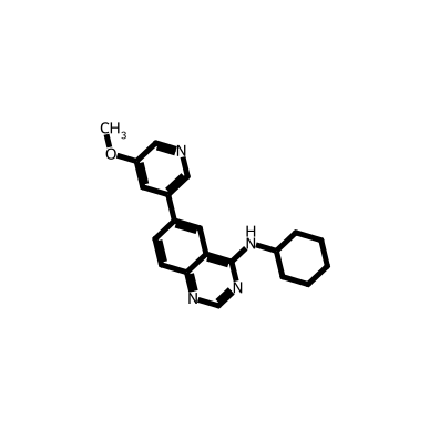 COc1cncc(-c2ccc3ncnc(NC4CCCCC4)c3c2)c1